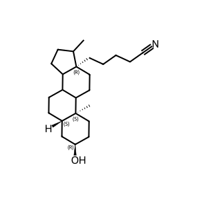 CC1CCC2C3CC[C@H]4C[C@H](O)CC[C@]4(C)C3CC[C@]12CCCCC#N